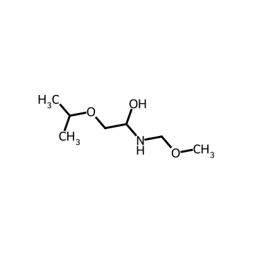 COCNC(O)COC(C)C